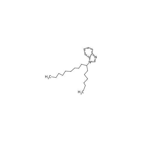 CCCCCCCCCC(CCCCCC)n1cnc2ccccc21